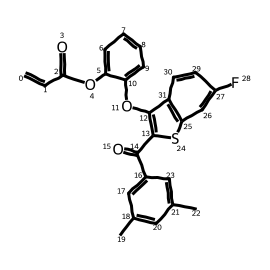 C=CC(=O)Oc1ccccc1Oc1c(C(=O)c2cc(C)cc(C)c2)sc2cc(F)ccc12